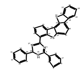 c1ccc(C2=NC(c3cccc4c3sc3ccc5c6ccccc6sc5c34)=NC(c3ccccc3)N2)cc1